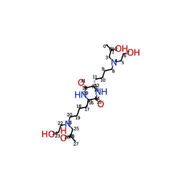 C[C@@H](O)CN(CCO)CCCC[C@@H]1NC(=O)[C@@H](CCCCN(CCO)C[C@@H](C)O)NC1=O